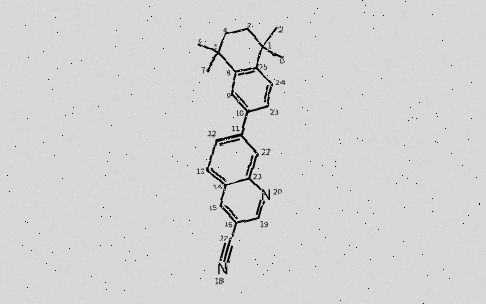 CC1(C)CCC(C)(C)c2cc(-c3ccc4cc(C#N)cnc4c3)ccc21